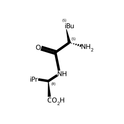 CC[C@H](C)[C@H](N)C(=O)N[C@@H](C(=O)O)C(C)C